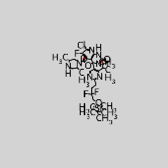 CC1CN(C(=O)OC2(c3cnc(CCC(F)(F)CO[Si](C)(C)C(C)(C)C)nc3C(C)C)NC(=O)Nc3nc(Cl)c(F)cc32)C(C)CN1